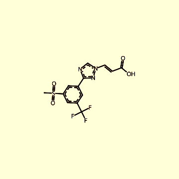 CS(=O)(=O)c1cc(-c2ncn(C=CC(=O)O)n2)cc(C(F)(F)F)c1